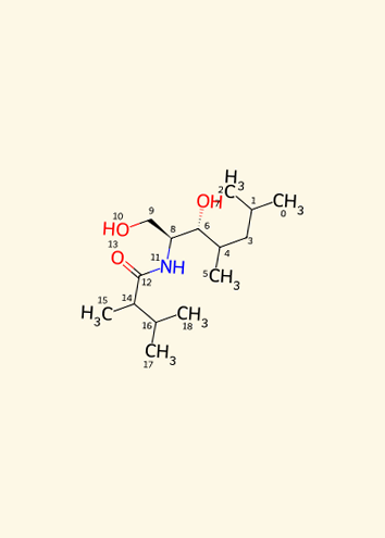 CC(C)CC(C)[C@@H](O)[C@H](CO)NC(=O)C(C)C(C)C